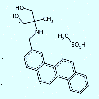 CC(CO)(CO)NCc1ccc2ccc3c4ccccc4ccc3c2c1.CS(=O)(=O)O